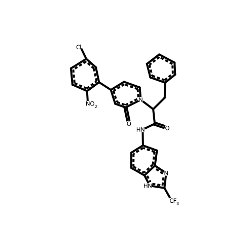 O=C(Nc1ccc2[nH]c(C(F)(F)F)nc2c1)C(Cc1ccccc1)n1ccc(-c2cc(Cl)ccc2[N+](=O)[O-])cc1=O